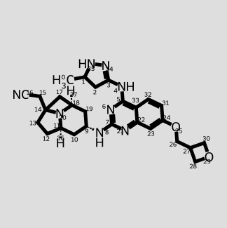 CC1CC(Nc2nc(N[C@@H]3C[C@H]4CCC5(CC#N)C[C@@H](C3)N45)nc3cc(OCC4COC4)ccc23)=NN1